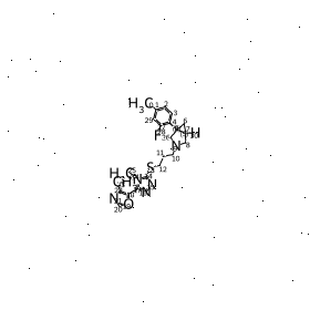 Cc1ccc([C@@]23C[C@@H]2CN(CCCSc2nnc(-c4ocnc4C)n2C)C3)c(F)c1